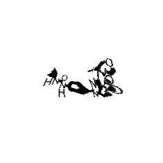 C[C@H]1COCCN1c1nc(-c2ccc(NC(=O)NC3CC3)cc2)nc2c1S(=O)(=O)CC2